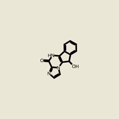 O=c1[nH]c2c(n3ccnc13)C(O)c1ccccc1-2